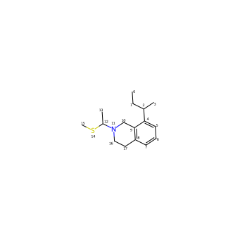 CCC(C)c1cccc2c1CN(C(C)SC)CC2